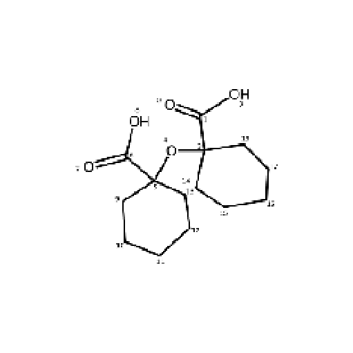 O=C(O)C1(OC2(C(=O)O)CCCCC2)CCCCC1